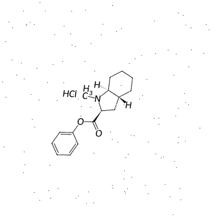 CN1[C@H](C(=O)Oc2ccccc2)C[C@H]2CCCC[C@@H]21.Cl